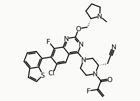 C=C(F)C(=O)N1CCN(c2nc(OC[C@@H]3CCCN3C)nc3c(F)c(-c4cccc5ccsc45)c(Cl)cc23)C[C@@H]1CC#N